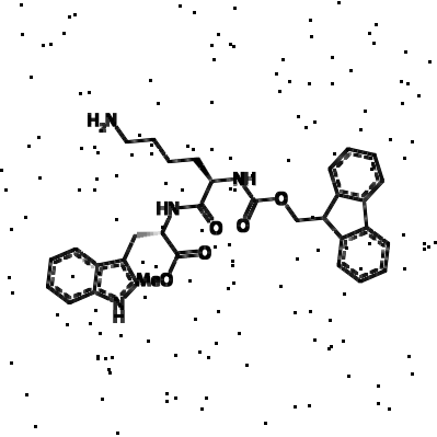 COC(=O)[C@H](Cc1c[nH]c2ccccc12)NC(=O)[C@@H](CCCCN)NC(=O)OCC1c2ccccc2-c2ccccc21